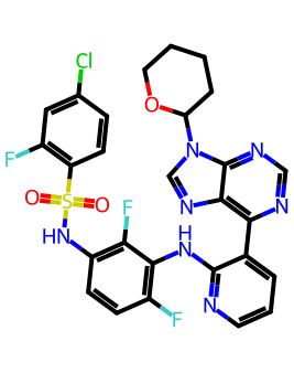 O=S(=O)(Nc1ccc(F)c(Nc2ncccc2-c2ncnc3c2ncn3C2CCCCO2)c1F)c1ccc(Cl)cc1F